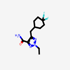 CCn1nc(CC2CCC(F)(F)CC2)c(C(N)=O)n1